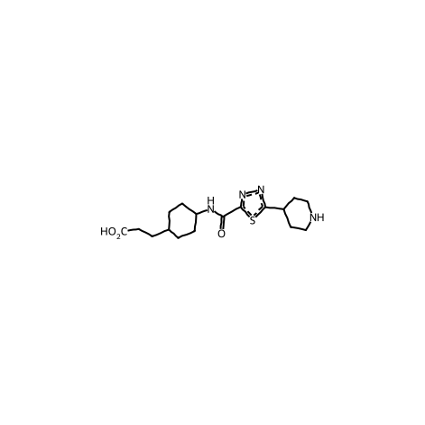 O=C(O)CCC1CCC(NC(=O)c2nnc(C3CCNCC3)s2)CC1